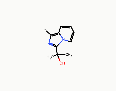 CC(C)c1nc(C(C)(C)O)n2ccccc12